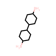 BC1CCC(C2CCC(B)CC2)CC1